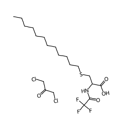 CCCCCCCCCCCCSCC(NC(=O)C(F)(F)F)C(=O)O.O=C(CCl)CCl